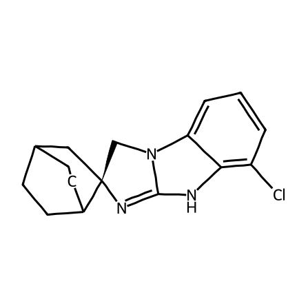 Clc1cccc2c1NC1=N[C@]3(CC4CCC3CC4)CN12